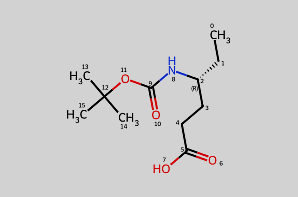 CC[C@H](CCC(=O)O)NC(=O)OC(C)(C)C